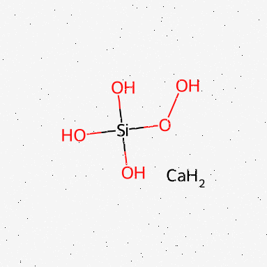 OO[Si](O)(O)O.[CaH2]